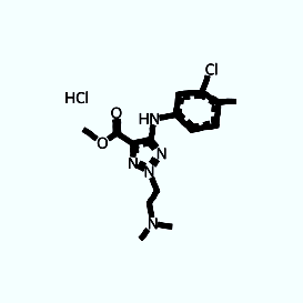 COC(=O)c1nn(CCN(C)C)nc1Nc1ccc(C)c(Cl)c1.Cl